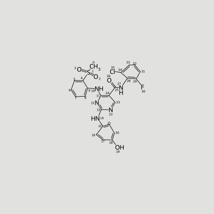 CS(=O)(=O)c1ccccc1Nc1nc(Nc2ccc(O)cc2)ncc1C(=O)Nc1c(F)cccc1Cl